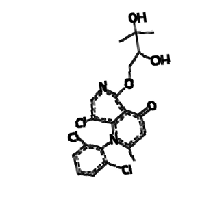 Cc1cc(=O)c2c(OCC(O)C(C)(C)O)ncc(Cl)c2n1-c1c(Cl)cccc1Cl